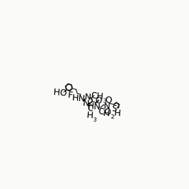 Cc1nc(NCCCc2cccc(O)c2F)nc(C)c1C(=O)NC(CNC(=O)c1cccs1)C(=O)O